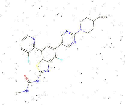 CCNC(=O)Nc1nc2c(F)c(-c3cnc(N4CCC(C(=O)OCC)CC4)nc3)cc(-c3ncccc3F)c2s1